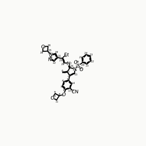 C=C1C(c2ccc(OC3COC3)c(C#N)c2)=CN(S(=O)(=O)c2ccccc2)/C1=N/C=C(\CC)c1cnn(C2COC2)c1